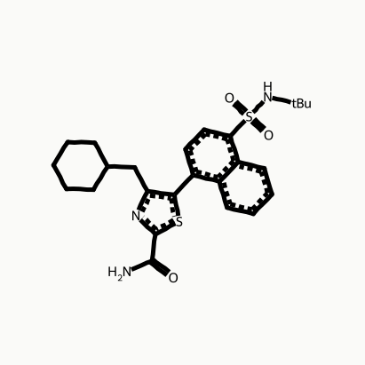 CC(C)(C)NS(=O)(=O)c1ccc(-c2sc(C(N)=O)nc2CC2CCCCC2)c2ccccc12